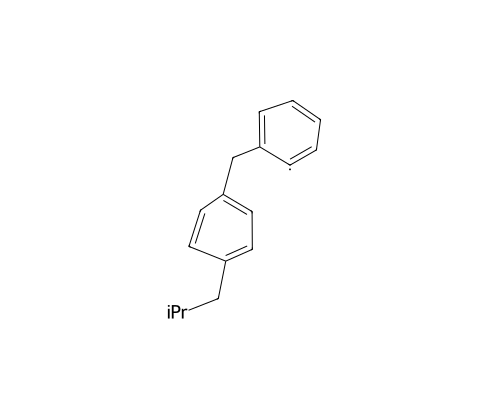 CC(C)Cc1ccc(Cc2[c]cccc2)cc1